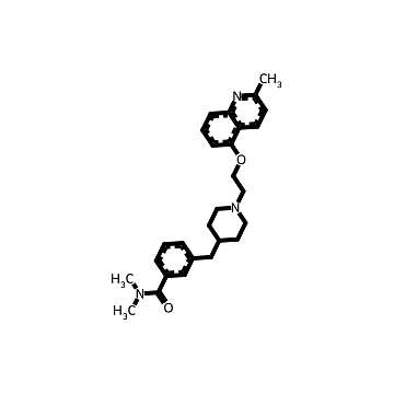 Cc1ccc2c(OCCN3CCC(Cc4cccc(C(=O)N(C)C)c4)CC3)cccc2n1